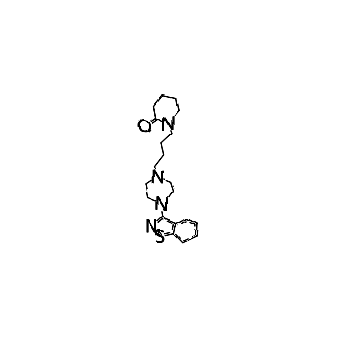 O=C1CCCCN1CCCCN1CCN(c2nsc3ccccc23)CC1